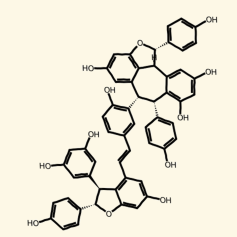 Oc1ccc([C@H]2c3c(O)cc(O)cc3[C@H]3c4c(cc(O)cc4[C@H]2c2cc(/C=C/c4cc(O)cc5c4[C@H](c4cc(O)cc(O)c4)[C@@H](c4ccc(O)cc4)O5)ccc2O)O[C@@H]3c2ccc(O)cc2)cc1